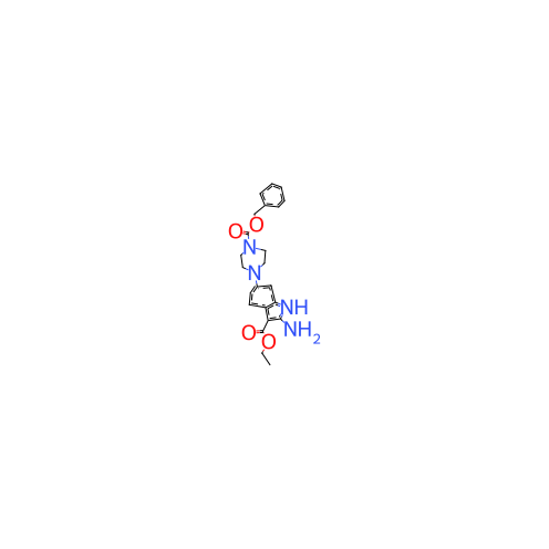 CCOC(=O)c1c(N)[nH]c2cc(N3CCN(C(=O)OCc4ccccc4)CC3)ccc12